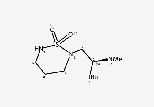 CN[C@H](CN1CCCNS1(=O)=O)C(C)(C)C